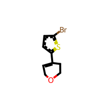 Brc1ccc(C2=CCOCC2)s1